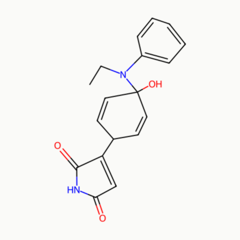 CCN(c1ccccc1)C1(O)C=CC(C2=CC(=O)NC2=O)C=C1